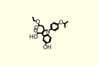 CCOC(=O)Cc1c(C(=O)O)c2cc(O)ccc2n1-c1ccc(OC(C)C)cc1